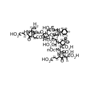 CC(C)(C)OC(=O)N(CC(=O)O)CC(=O)O.CCCCCCCCN(CC(=O)O)CC(=O)O.C[C@@H](NC(=O)[C@@H](N)CCC(=O)O)C(=O)O.NCC(=O)N[C@@H](CCC(=O)O)C(=O)NCC(=O)O.O=C(O)CCN(CCC(=O)O)c1ccccc1.O=C(O)CN(CC(=O)O)C1CCS(=O)(=O)C1